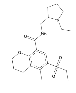 CCN1CCCC1CNC(=O)c1cc(S(=O)(=O)CC)c(C)c2c1OCCC2